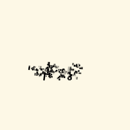 COc1ccc(-c2sc(NC(=O)C(C)C3CCOCC3)nc2C)cc1S(=O)(=O)Nc1ccc(O)cc1